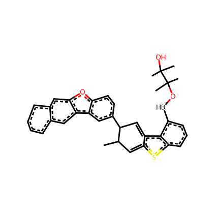 CC1C=c2sc3cccc(BOC(C)(C)C(C)(C)O)c3c2=CC1c1ccc2oc3cc4ccccc4cc3c2c1